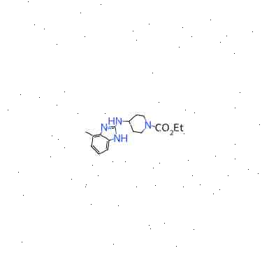 CCOC(=O)N1CCC(Nc2nc3c(C)cccc3[nH]2)CC1